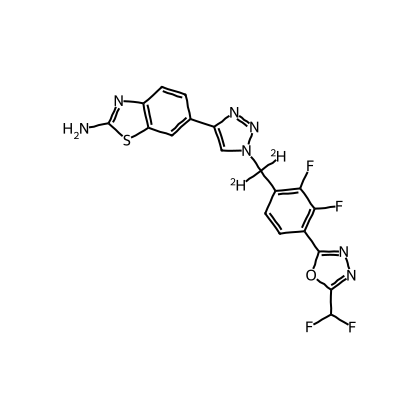 [2H]C([2H])(c1ccc(-c2nnc(C(F)F)o2)c(F)c1F)n1cc(-c2ccc3nc(N)sc3c2)nn1